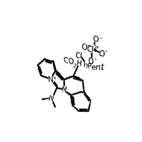 CCCCCCl.CN(C)c1n2c3ccccc3cc(C(=O)O)c2c2cccc[n+]12.[O-][Cl+3]([O-])([O-])[O-]